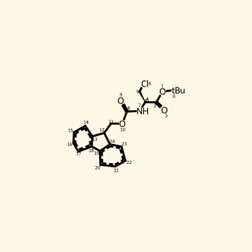 CC(C)(C)OC(=O)[C@H](CCl)NC(=O)OCC1c2ccccc2-c2ccccc21